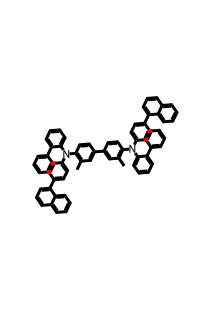 Cc1cc(-c2ccc(N(c3ccc(-c4cccc5ccccc45)cc3)c3ccccc3-c3ccccc3)c(C)c2)ccc1N(c1ccc(-c2cccc3ccccc23)cc1)c1ccccc1-c1ccccc1